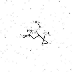 CC1(C2CC(=O)N[C@@H]2CO)CC1